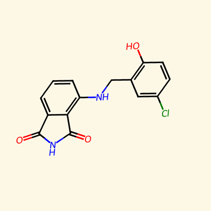 O=C1NC(=O)c2c(NCc3cc(Cl)ccc3O)cccc21